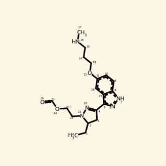 CCC1CC(c2n[nH]c3ccc(OCCCNC)cc23)=NN1CCOC=O